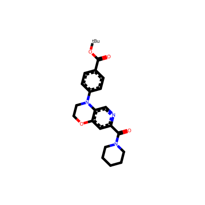 CC(C)(C)OC(=O)c1ccc(N2CCOc3cc(C(=O)N4CCCCC4)ncc32)cc1